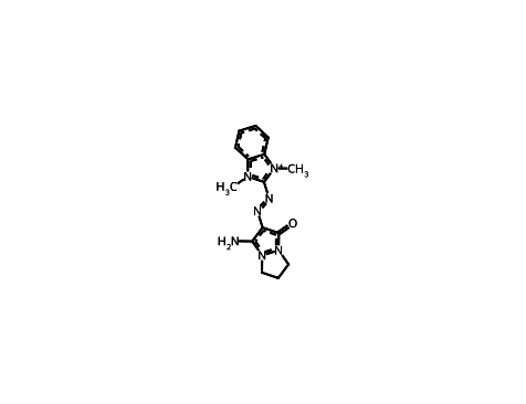 Cn1c(/N=N/c2c(N)n3n(c2=O)CCC3)[n+](C)c2ccccc21